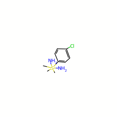 CS(C)(C)(N)(N)c1ccc(Cl)cc1